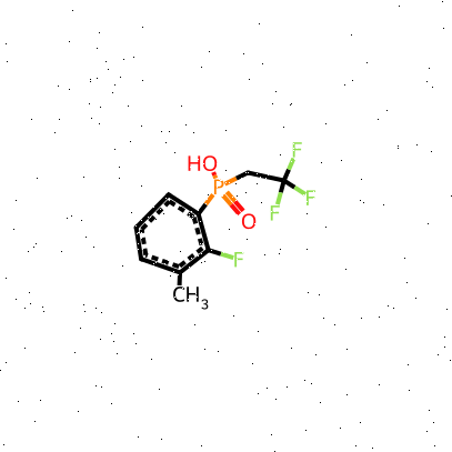 Cc1cccc(P(=O)(O)CC(F)(F)F)c1F